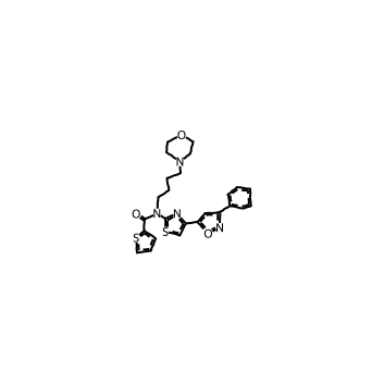 O=C(c1cccs1)N(CCCCN1CCOCC1)c1nc(-c2cc(-c3ccccc3)no2)cs1